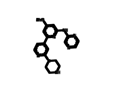 COc1cc(Nc2cnccn2)nc(-c2ccnc(N3CCNCC3)c2)c1